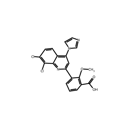 COc1c(C(=O)O)cccc1-c1cc(-n2ccnc2)c2ccc(Cl)c(Cl)c2n1